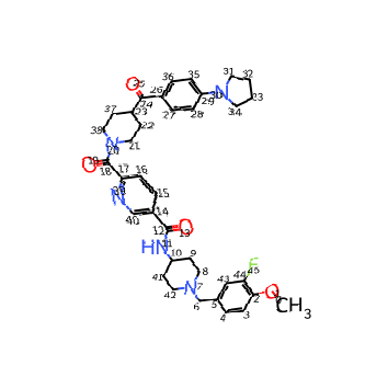 COc1ccc(CN2CCC(NC(=O)c3ccc(C(=O)N4CCC(C(=O)c5ccc(N6CCCC6)cc5)CC4)nc3)CC2)cc1F